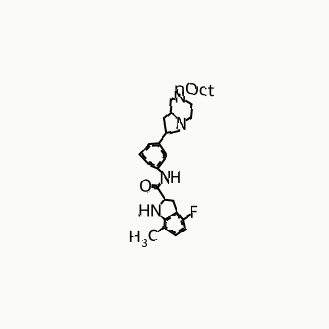 CCCCCCCCN1CCN2CC(c3cccc(NC(=O)C4Cc5c(F)ccc(C)c5N4)c3)CC2C1